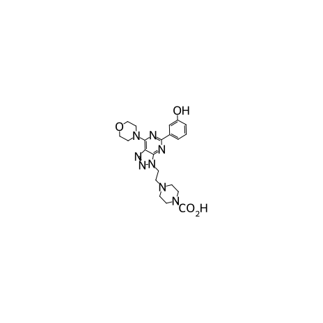 O=C(O)N1CCN(CCn2nnc3c(N4CCOCC4)nc(-c4cccc(O)c4)nc32)CC1